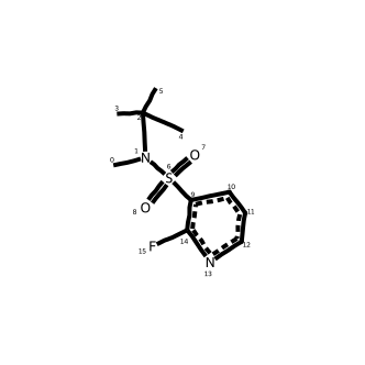 CN(C(C)(C)C)S(=O)(=O)c1cccnc1F